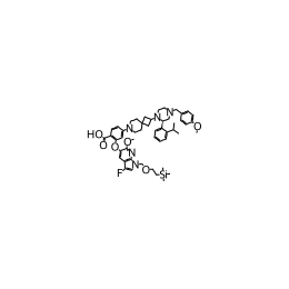 COc1ccc(CN2CCN(C3CC4(CCN(c5ccc(C(=O)O)c(Oc6cc7c(F)cn(COCC[Si](C)(C)C)c7nc6OC)c5)CC4)C3)[C@H](c3ccccc3C(C)C)C2)cc1